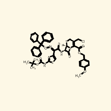 COc1ccc(COC(=O)C2=C(CCl)CS[C@@H]3[C@H](NC(=O)/C(=N/OC(c4ccccc4)(c4ccccc4)c4ccccc4)c4csc(NC(=O)OC(C)(C)C)n4)C(=O)N23)cc1